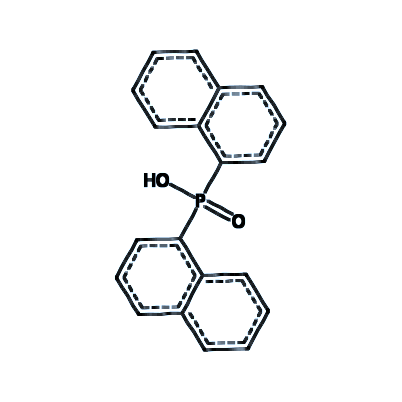 O=P(O)(c1cccc2ccccc12)c1cccc2ccccc12